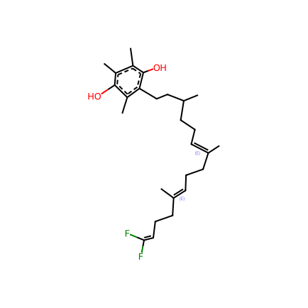 C/C(=C\CC/C(C)=C/CCC(C)CCc1c(C)c(O)c(C)c(C)c1O)CCC=C(F)F